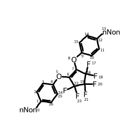 CCCCCCCCCc1ccc(OC2=C(Oc3ccc(CCCCCCCCC)cc3)C(F)(F)C(F)(F)C2(F)F)cc1